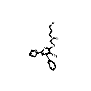 N#Cc1c(-c2ccccc2)cc(-c2cccs2)nc1SC[S+]([O-])CCCF